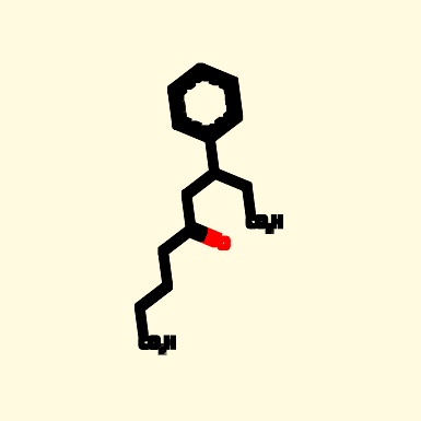 O=C(O)CCCC(=O)CC(CC(=O)O)c1ccccc1